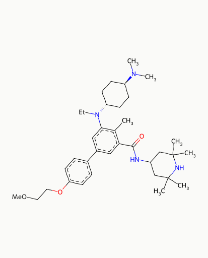 CCN(c1cc(-c2ccc(OCCOC)cc2)cc(C(=O)NC2CC(C)(C)NC(C)(C)C2)c1C)[C@H]1CC[C@H](N(C)C)CC1